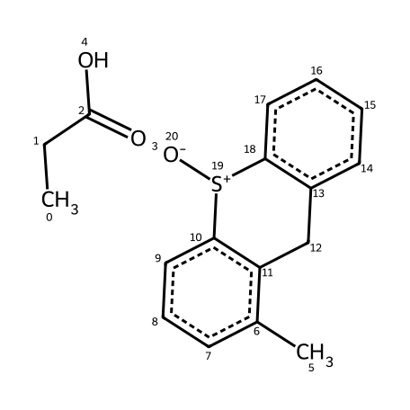 CCC(=O)O.Cc1cccc2c1Cc1ccccc1[S+]2[O-]